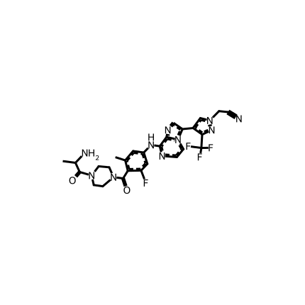 Cc1cc(Nc2nccn3c(-c4cn(CC#N)nc4C(F)(F)F)cnc23)cc(F)c1C(=O)N1CCN(C(=O)C(C)N)CC1